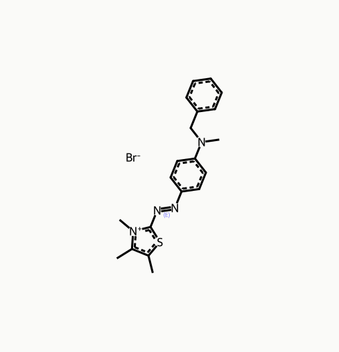 Cc1sc(/N=N/c2ccc(N(C)Cc3ccccc3)cc2)[n+](C)c1C.[Br-]